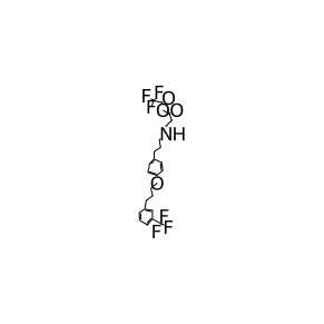 O=C(CCNCCCc1ccc(OCCCc2cccc(C(F)(F)F)c2)cc1)OC(=O)C(F)(F)F